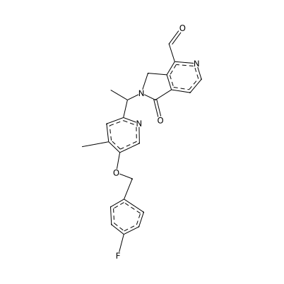 Cc1cc(C(C)N2Cc3c(ccnc3C=O)C2=O)ncc1OCc1ccc(F)cc1